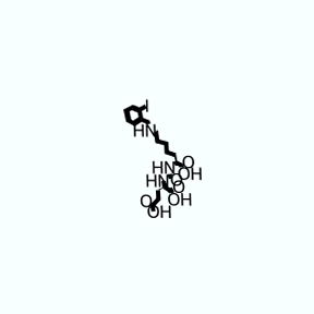 O=C(O)CC[C@H](NC(=O)N[C@@H](CCCCCNCc1ccccc1I)C(=O)O)C(=O)O